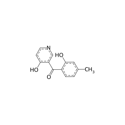 Cc1ccc(C(=O)c2cnccc2O)c(O)c1